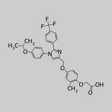 Cc1cc(OCc2cn(-c3ccc(OC(C)C)cc3)c(-c3ccc(C(F)(F)F)cc3)n2)ccc1OCC(=O)O